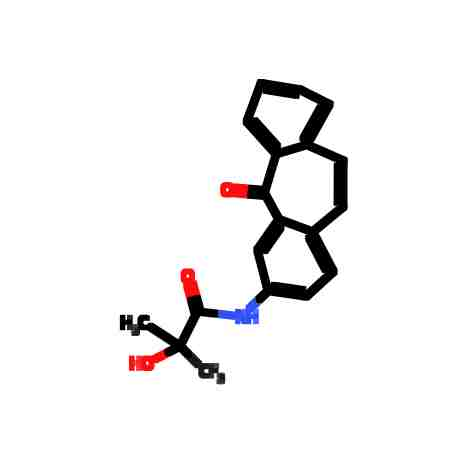 CC(O)(C(=O)Nc1ccc2ccc3ccccc3c(=O)c2c1)C(F)(F)F